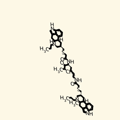 CCCN1C[C@H](CSCC(=O)N[C@@H](CCCCNC(=O)CSC[C@@H]2C[C@@H]3c4cccc5[nH]cc(c45)C[C@@]3(C)N(CCC)C2)C(=O)C(C)C)C[C@@H]2c3cccc4[nH]cc(c34)C[C@H]21